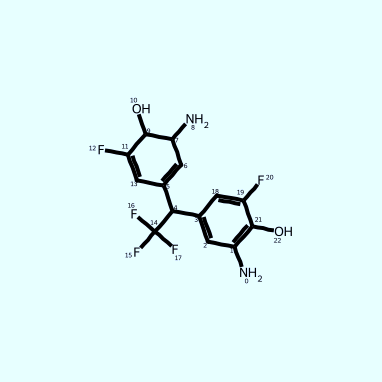 Nc1cc(C(C2=CC(N)C(O)C(F)=C2)C(F)(F)F)cc(F)c1O